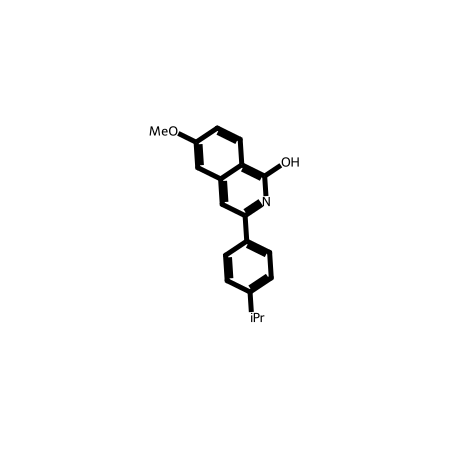 COc1ccc2c(O)nc(-c3ccc(C(C)C)cc3)cc2c1